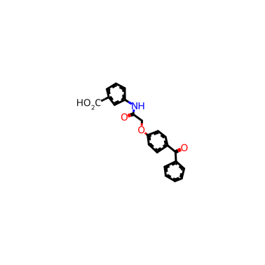 O=C(COc1ccc(C(=O)c2ccccc2)cc1)Nc1cccc(C(=O)O)c1